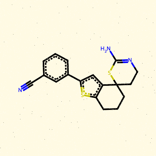 N#Cc1cccc(-c2cc3c(s2)CCCC32CCN=C(N)S2)c1